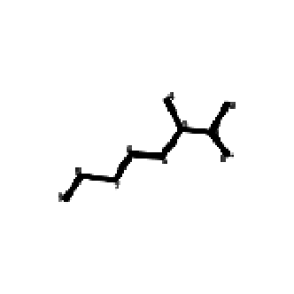 [CH2]C(C)C(C)CCCCC